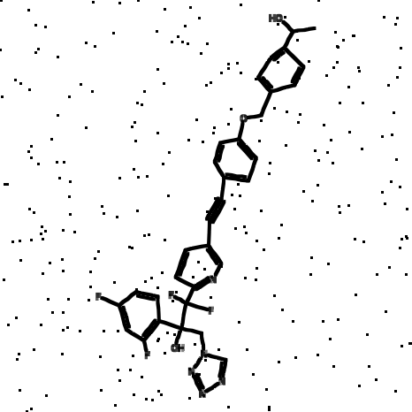 CC(O)c1ccc(COc2ccc(C#Cc3ccc(C(F)(F)C(O)(Cn4cnnn4)c4ccc(F)cc4F)nc3)cc2)cc1